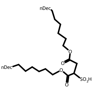 CCCCCCCCCCCCCCCCOC(=O)CC(C(=O)OCCCCCCCCCCCCCCCC)S(=O)(=O)O